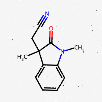 CN1C(=O)C(C)(CC#N)c2ccccc21